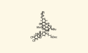 CCCCCCCCCCCCOc1ccc(S(=O)(=O)Nc2cc(Cl)c(Cl)cc2Cl)cc1NC(=O)C(c1nc2ccc(SOOCC)cc2c(=O)n1OC)N1C(=O)OC(CCCC)C1=O